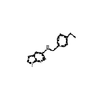 CCc1ccc(CNc2cnc3[nH]ccc3c2)cc1